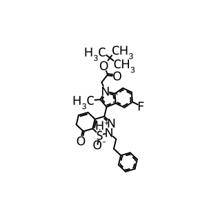 Cc1c(C2=NN(CCc3ccccc3)[SH+]([O-])C3=C2C=CCC3=O)c2cc(F)ccc2n1CC(=O)OC(C)(C)C